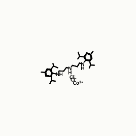 Cc1cc(C(C)C)c(NCCCNCCCNc2c(C(C)C)cc(C)cc2C(C)C)c(C(C)C)c1.[Cl-].[Cl-].[Co+2]